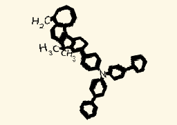 C=C1/C=C\C=C/Cc2c1ccc1c2C2=C(C=C(c3ccc(N(c4ccc(-c5ccccc5)cc4)c4ccc(-c5ccccc5)cc4)cc3)CC2)C1(C)C